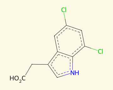 O=C(O)Cc1c[nH]c2c(Cl)cc(Cl)cc12